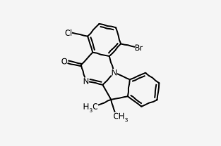 CC1(C)c2ccccc2-n2c1nc(=O)c1c(Cl)ccc(Br)c12